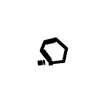 C1=CCCN=C1.[KH]